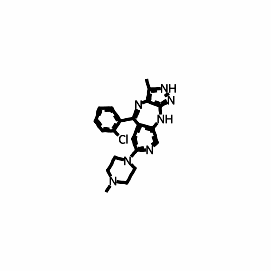 Cc1[nH]nc2c1N=C(c1ccccc1Cl)c1cc(N3CCN(C)CC3)ncc1N2